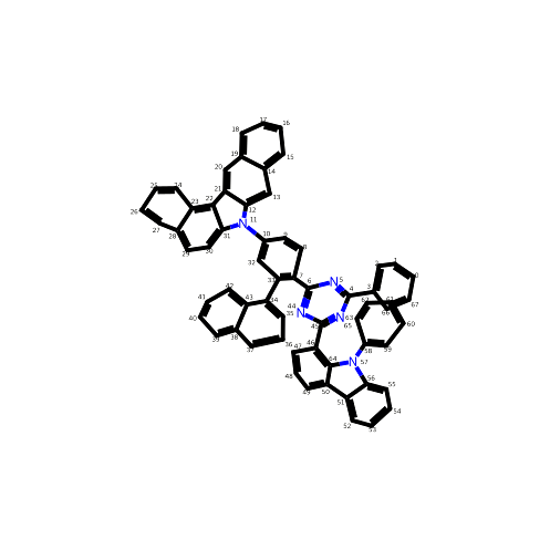 c1ccc(-c2nc(-c3ccc(-n4c5cc6ccccc6cc5c5c6ccccc6ccc54)cc3-c3cccc4ccccc34)nc(-c3cccc4c5ccccc5n(-c5ccccc5)c34)n2)cc1